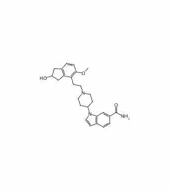 COc1ccc2c(c1CCN1CCC(n3ccc4ccc(C(N)=O)cc43)CC1)CC(O)C2